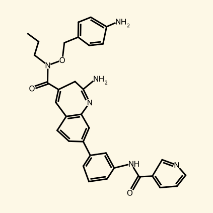 CCCN(OCc1ccc(N)cc1)C(=O)C1=Cc2ccc(-c3cccc(NC(=O)c4cccnc4)c3)cc2N=C(N)C1